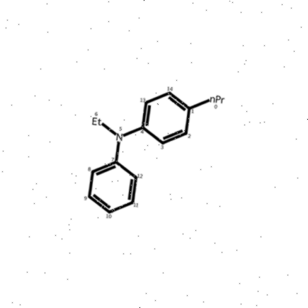 CCCc1ccc(N(CC)c2cc[c]cc2)cc1